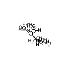 CC[C@@H]1[C@H](F)C(=O)N[C@@H]1COc1ncc(C#CC(C)(C)NC(=O)OC(C)(C)C)c2cc(C#N)c(OC)cc12